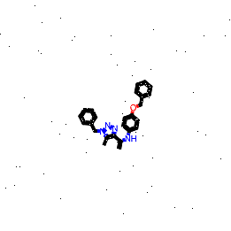 C=C(Nc1ccc(OCc2ccccc2)cc1)c1nnn(Cc2ccccc2)c1C